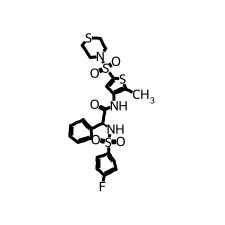 Cc1sc(S(=O)(=O)N2CCSCC2)cc1NC(=O)[C@@H](NS(=O)(=O)c1ccc(F)cc1)c1ccccc1